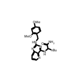 CCCCC(Nc1nc(NCc2ccc(OC)cc2OC)nc2cccnc12)C(N)=O